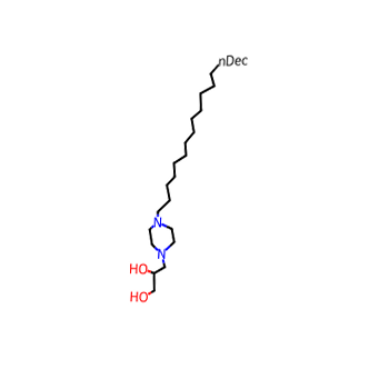 CCCCCCCCCCCCCCCCCCCCCCCN1CCN(CC(O)CO)CC1